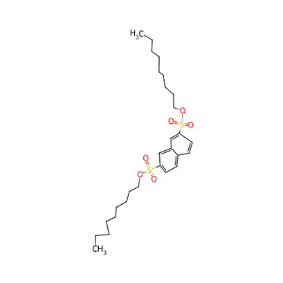 CCCCCCCCCOS(=O)(=O)c1ccc2ccc(S(=O)(=O)OCCCCCCCCC)cc2c1